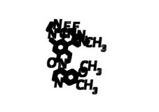 COc1cc2c(N3CCc4c(cc(Cn5ccnc5C)cc4-c4cn(C)nc4C(F)(F)F)C3=O)ccnc2cc1C